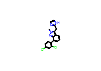 Cn1nc2c(-c3ccc(Cl)cc3Cl)cccc2c1Cc1ncc[nH]1